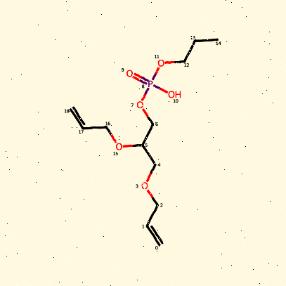 C=CCOCC(COP(=O)(O)OCCC)OCC=C